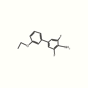 CCOc1cccc(-c2cc(F)c(N)c(F)c2)c1